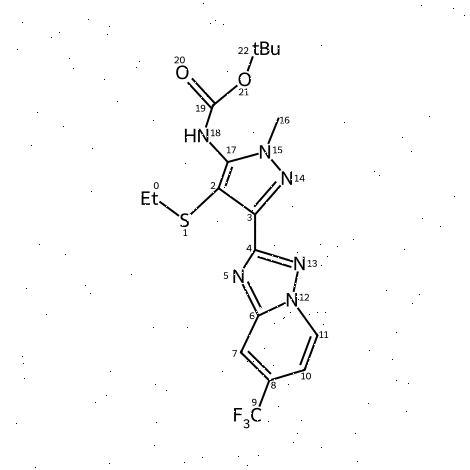 CCSc1c(-c2nc3cc(C(F)(F)F)ccn3n2)nn(C)c1NC(=O)OC(C)(C)C